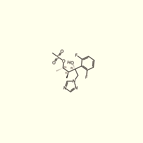 C[C@H](OS(C)(=O)=O)[C@H](C)[C@](O)(Cn1cncn1)c1c(F)cccc1F